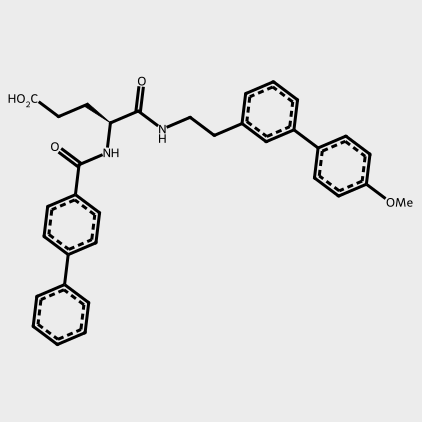 COc1ccc(-c2cccc(CCNC(=O)[C@H](CCC(=O)O)NC(=O)c3ccc(-c4ccccc4)cc3)c2)cc1